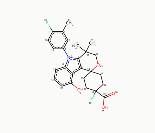 Cc1cc(-n2c3c(c4c(O)cccc42)C2(CCC(F)(C(=O)O)CC2)OCC3(C)C)ccc1F